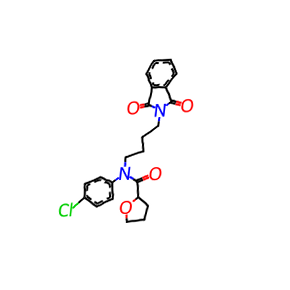 O=C1c2ccccc2C(=O)N1CCCCN(C(=O)C1CCCO1)c1ccc(Cl)cc1